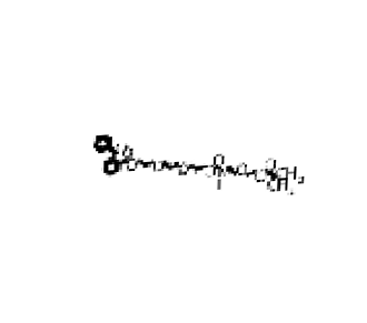 C=C(C)C(=O)OCCOCCNC(=O)OCCCOCCCOCCCOC(=O)c1ccccc1C(=O)c1ccccc1